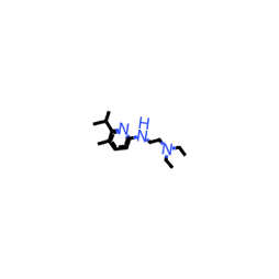 CCN(CC)CCNc1ccc(C)c(C(C)C)n1